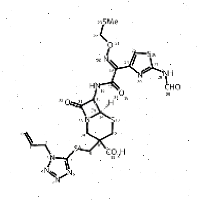 C=CCn1nnnc1SCC1(C(=O)O)CS[C@@H]2C(NC(=O)C(=NOCSC)c3csc(NC=O)n3)C(=O)N2C1